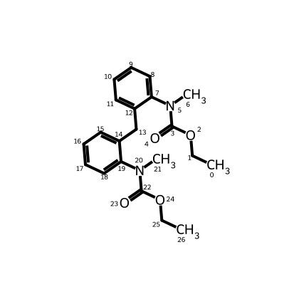 CCOC(=O)N(C)c1ccccc1Cc1ccccc1N(C)C(=O)OCC